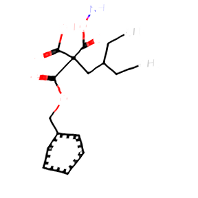 CCC(CC)CC(C(=O)O)(C(=O)ON)C(=O)OCc1ccccc1